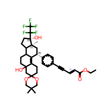 CCOC(=O)/C=C/C#Cc1ccc([C@H]2C[C@@]3(C)C(CC[C@@]3(O)C(F)(F)C(F)(F)F)C3CCC4(O)CC5(CCC4=C32)OCC(C)(C)CO5)cc1